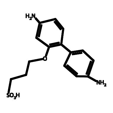 Nc1ccc(-c2ccc(N)cc2OCCCS(=O)(=O)O)cc1